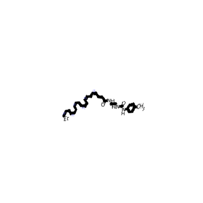 CC/C=C\C/C=C\C/C=C\C/C=C\C/C=C\C/C=C\CCC(=O)NCCNC(=O)Nc1ccc(C)cc1